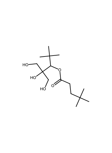 CC(C)(C)CCC(=O)OC(C(C)(C)C)C(O)(CO)CO